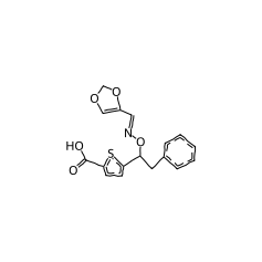 O=C(O)c1ccc(C(Cc2ccccc2)ON=CC2=COCO2)s1